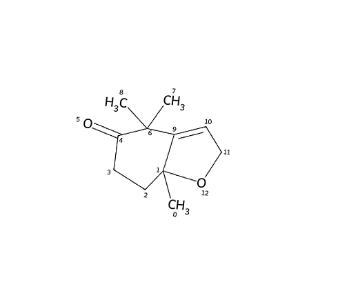 CC12CCC(=O)C(C)(C)C1=CCO2